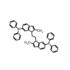 CC1=Cc2ccc(P(c3ccccc3)c3ccccc3)cc2C1CCC1C(C)=Cc2ccc(P(c3ccccc3)c3ccccc3)cc21